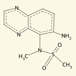 CN(c1c(N)ccc2nccnc12)S(C)(=O)=O